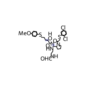 COc1ccc(SCC/C=C(\O)C(=O)/N=C(\NCCNC=O)C2CCCN2C(=O)CSc2cc(Cl)ccc2Cl)cc1